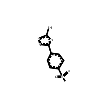 CS(=O)(=O)c1ccc(-c2nnc(S)o2)cc1